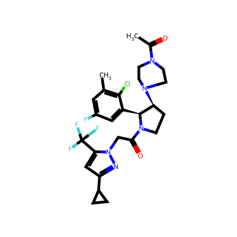 CC(=O)N1CCN([C@H]2CCN(C(=O)Cn3nc(C4CC4)cc3C(F)(F)F)[C@H]2c2cc(F)cc(C)c2Cl)CC1